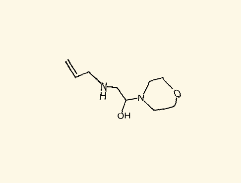 C=CCNCC(O)N1CCOCC1